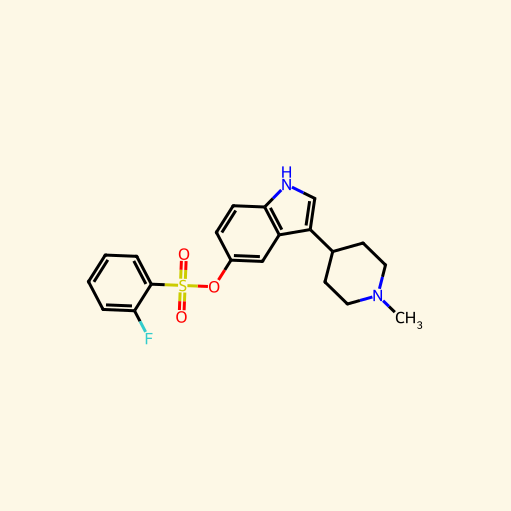 CN1CCC(c2c[nH]c3ccc(OS(=O)(=O)c4ccccc4F)cc23)CC1